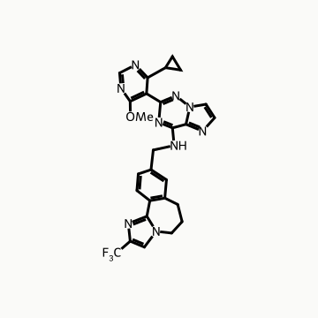 COc1ncnc(C2CC2)c1-c1nc(NCc2ccc3c(c2)CCCn2cc(C(F)(F)F)nc2-3)c2nccn2n1